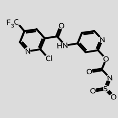 O=C(N=S(=O)=O)Oc1cc(NC(=O)c2cc(C(F)(F)F)cnc2Cl)ccn1